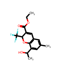 CCOC(=O)C1=Cc2cc(C)cc(C(C)O)c2OC1C(F)(F)F